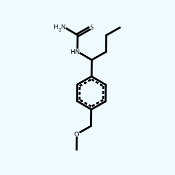 CCCC(NC(N)=S)c1ccc(COC)cc1